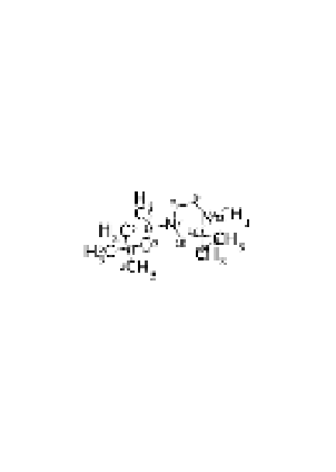 CC(OC(C)(C)C)N1CCN(C)C(C)(C)C1